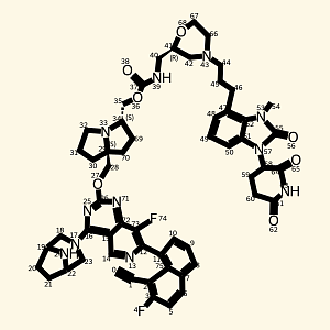 C#Cc1c(F)ccc2cccc(-c3ncc4c(N5CC6CCC(C5)N6)nc(OC[C@@]56CCCN5[C@H](COC(=O)NC[C@@H]5CN(CCCc7cccc8c7n(C)c(=O)n8C7CCC(=O)NC7=O)CCO5)CC6)nc4c3F)c12